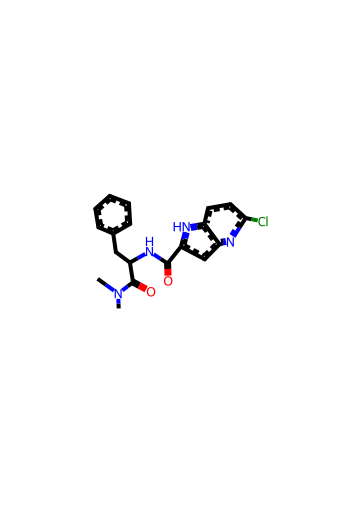 CN(C)C(=O)C(Cc1ccccc1)NC(=O)c1cc2nc(Cl)ccc2[nH]1